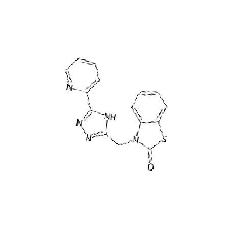 O=c1sc2ccccc2n1Cc1nnc(-c2ccccn2)[nH]1